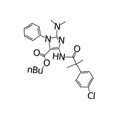 CCCCOC(=O)c1c(NC(=O)C(C)(C)c2ccc(Cl)cc2)nc(N(C)C)n1-c1ccccc1